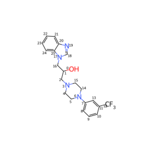 OC(CN1CCN(c2cccc(C(F)(F)F)c2)CC1)Cn1cnc2ccccc21